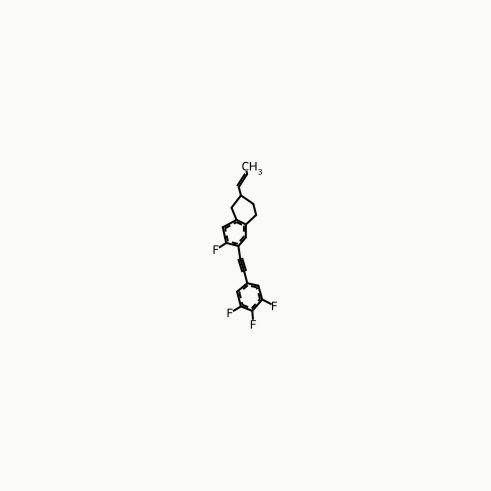 C/C=C/C1CCc2cc(C#Cc3cc(F)c(F)c(F)c3)c(F)cc2C1